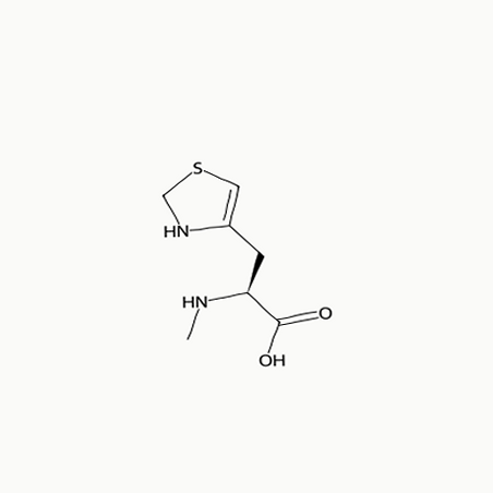 CN[C@@H](CC1=CSCN1)C(=O)O